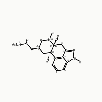 CC(=O)NNC[C@@H]1C[C@@H]2c3cccc4c3c(cn4C)C[C@H]2N(C)C1